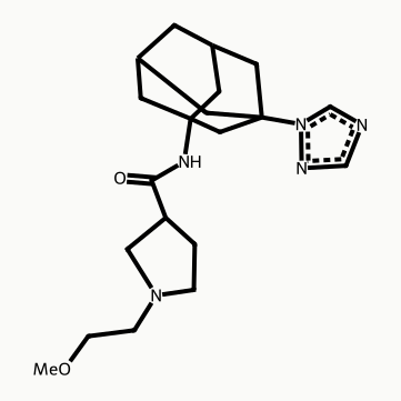 COCCN1CCC(C(=O)NC23CC4CC(C2)CC(n2cncn2)(C4)C3)C1